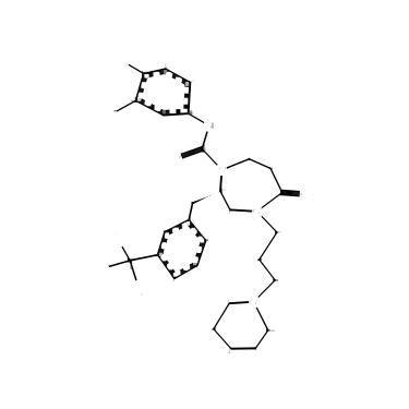 O=C1CCN(C(=O)Nc2ccc(Cl)c(Cl)c2)[C@H](Cc2cccc(C(F)(F)F)c2)CN1CCCN1CCCCC1